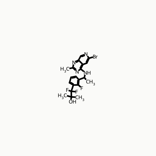 Cc1nc(NC(C)c2cccc(C(F)(F)C(C)(C)O)c2F)c2cc(Br)ncc2n1